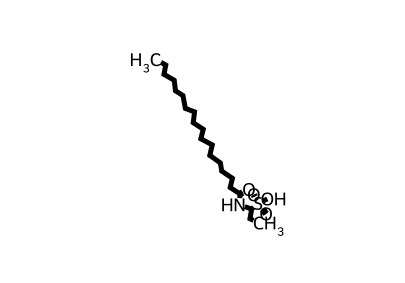 CCCCCCCCCCCCCCCCCC(=O)NC(CC)S(=O)(=O)O